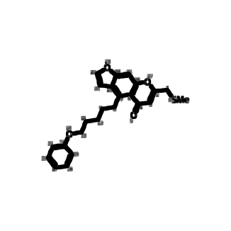 CSCc1cc(=O)c2c(CCCCCOc3ccccc3)c3ccoc3cc2o1